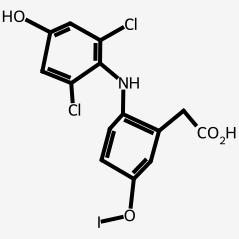 O=C(O)Cc1cc(OI)ccc1Nc1c(Cl)cc(O)cc1Cl